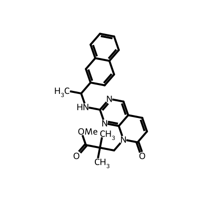 COC(=O)C(C)(C)Cn1c(=O)ccc2cnc(NC(C)c3ccc4ccccc4c3)nc21